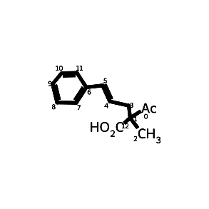 CC(=O)C(C)(CC=Cc1ccccc1)C(=O)O